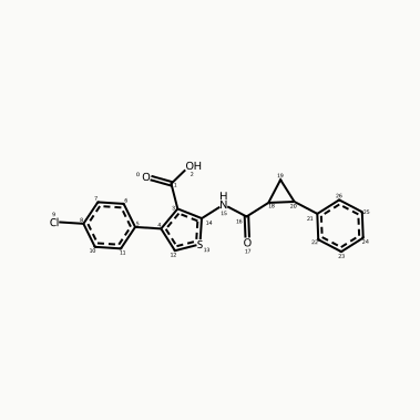 O=C(O)c1c(-c2ccc(Cl)cc2)csc1NC(=O)C1CC1c1ccccc1